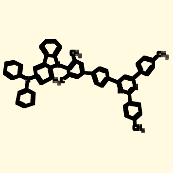 Cc1ccc(-c2cc(-c3ccc(-c4cc(C)c(-n5c6ccccc6c6cc(N(c7ccccc7)c7ccccc7)ccc65)c(C)c4)cc3)nc(-c3ccc(C)cc3)n2)cc1